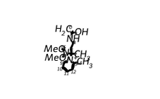 C=C(O)NCC1C(C)([n+]2ccccc2C)[N+]1(OC)OC